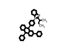 CCC(C)c1nc2ccccc2n1-c1ccc(-c2c3ccccc3c(-c3ccccc3)c3ccc(-c4ccccc4)cc23)cc1